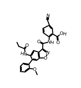 CCC(=O)Nc1cc2c(C(=O)Nc3ccc(C#N)cc3C(=O)O)noc2cc1-c1ccccc1OC